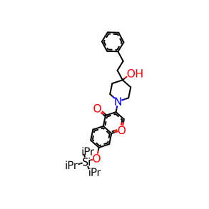 CC(C)[Si](Oc1ccc2c(=O)c(N3CCC(O)(CCc4ccccc4)CC3)coc2c1)(C(C)C)C(C)C